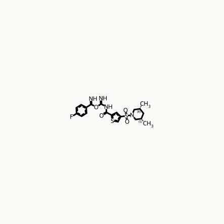 C[C@@H]1C[C@H](C)CN(S(=O)(=O)c2csc(C(=O)NC(=N)OC(=N)c3ccc(F)cc3)c2)C1